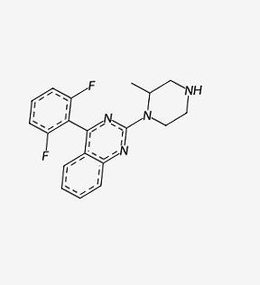 CC1CNCCN1c1nc(-c2c(F)cccc2F)c2ccccc2n1